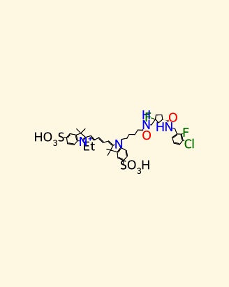 CC[N+]1=C(/C=C/C=C/C=C2/N(CCCCCC(=O)NC[C@]3(F)CC[C@H](C(=O)NCc4cccc(Cl)c4F)C3)c3ccc(S(=O)(=O)O)cc3C2(C)C)C(C)(C)c2cc(S(=O)(=O)O)ccc21